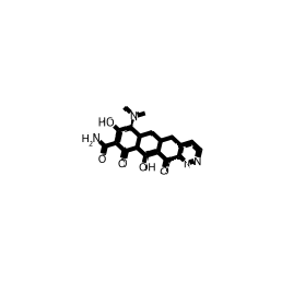 CN(C)[C@@H]1C(O)=C(C(N)=O)C(=O)C2C(O)=C3C(=O)c4nnccc4CC3CC21